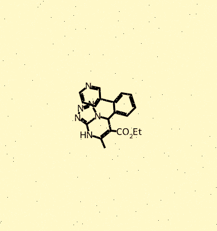 CCOC(=O)C1=C(C)Nc2nnnn2C1c1ccccc1-c1cccnc1